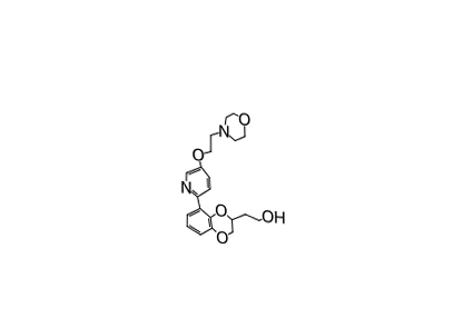 OCCC1COc2cccc(-c3ccc(OCCN4CCOCC4)cn3)c2O1